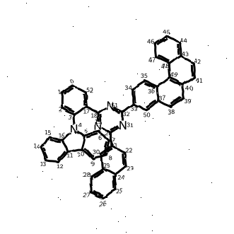 c1ccc(-n2c3ccccc3c3ccccc32)c(-c2nc(-c3ccc4ccccc4c3)nc(-c3ccc4c(ccc5ccc6ccccc6c54)c3)n2)c1